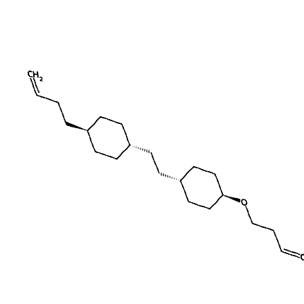 C=CCCO[C@H]1CC[C@H](CC[C@H]2CC[C@H](CCC=C)CC2)CC1